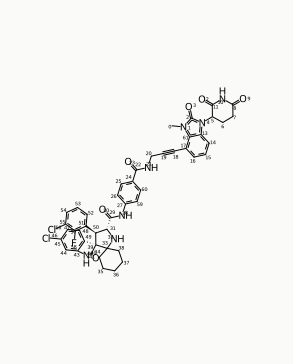 Cn1c(=O)n(C2CCC(=O)NC2=O)c2cccc(C#CCNC(=O)c3ccc(NC(=O)[C@@H]4NC5(CCCCC5)[C@@]5(C(=O)Nc6cc(Cl)ccc65)[C@H]4c4cccc(Cl)c4F)cc3)c21